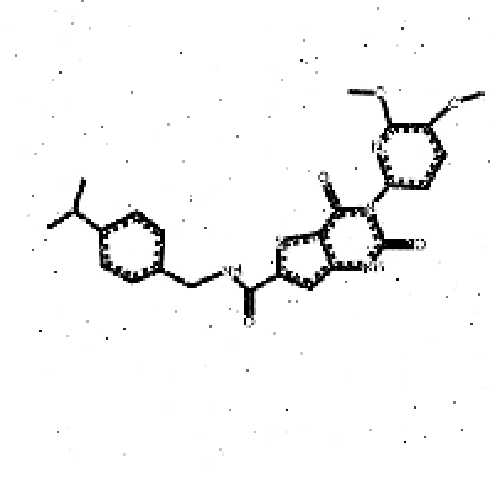 COc1ccc(-n2c(=O)[nH]c3cc(C(=O)NCc4ccc(C(C)C)cc4)sc3c2=O)nc1OC